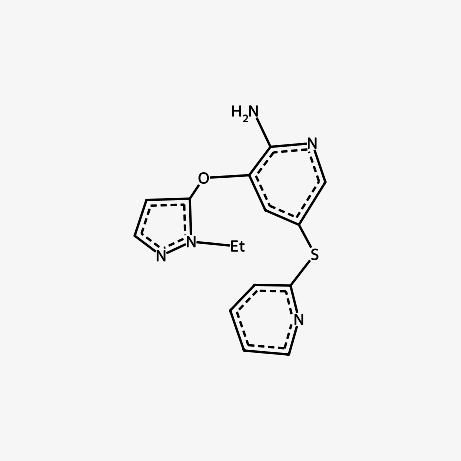 CCn1nccc1Oc1cc(Sc2ccccn2)cnc1N